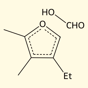 CCc1coc(C)c1C.O=CO